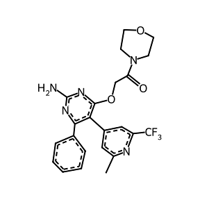 Cc1cc(-c2c(OCC(=O)N3CCOCC3)nc(N)nc2-c2ccccc2)cc(C(F)(F)F)n1